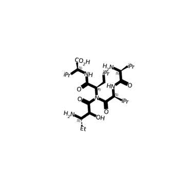 CC[C@H](N)C(O)C(=O)N(C(=O)[C@@H](NC(=O)[C@@H](N)C(C)C)C(C)C)[C@H](CC(C)C)C(=O)N[C@H](C(=O)O)C(C)C